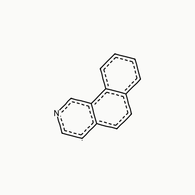 [c]1cncc2c1ccc1ccccc12